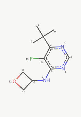 CC(C)(C)c1ncnc(NC2COC2)c1F